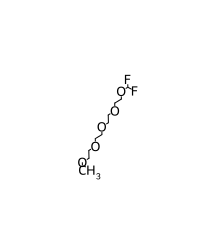 COCCOCCOCCOCCOC(F)F